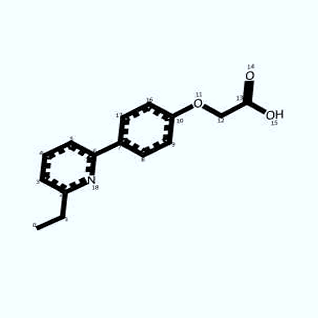 CCc1cccc(-c2ccc(OCC(=O)O)cc2)n1